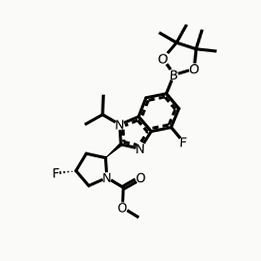 COC(=O)N1C[C@H](F)C[C@H]1c1nc2c(F)cc(B3OC(C)(C)C(C)(C)O3)cc2n1C(C)C